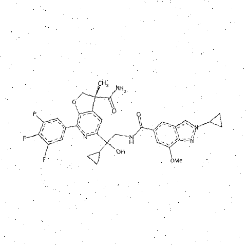 COc1cc(C(=O)NCC(O)(c2cc3c(c(-c4cc(F)c(F)c(F)c4)n2)OC[C@]3(C)C(N)=O)C2CC2)cc2cn(C3CC3)nc12